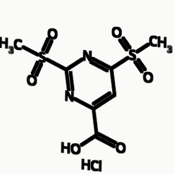 CS(=O)(=O)c1cc(C(=O)O)nc(S(C)(=O)=O)n1.Cl